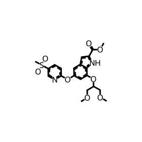 COCC(COC)Oc1cc(Oc2ccc(S(C)(=O)=O)cn2)cc2cc(C(=O)OC)[nH]c12